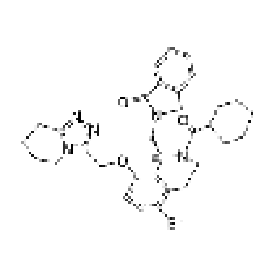 O=C1c2ccccc2CN1C[C@@H]1c2c(OCc3nnc4n3CCCC4)ccc(Br)c2CCN1C(=O)C1CCCCC1